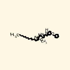 CCCCCCCCCCCC1=N/C(=C/c2[nH]c(-c3cc4cc(OCc5ccccc5)ccc4[nH]3)cc2OC)C=C1